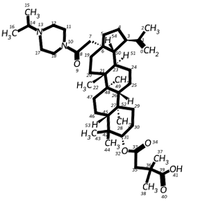 C=C(C)[C@@H]1CC[C@]2(CC(=O)N3CCN(C(C)C)CC3)CC[C@]3(C)[C@H](CC[C@@H]4[C@@]5(C)CC[C@H](OC(=O)CC(C)(C)C(=O)O)C(C)(C)[C@@H]5CC[C@]43C)[C@@H]12